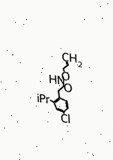 C=CCONC(=O)Cc1ccc(Cl)cc1C(C)C